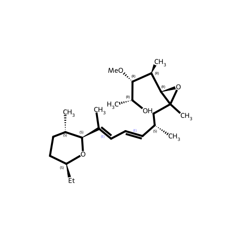 CC[C@H]1CC[C@H](C)[C@@H](/C(C)=C/C=C/[C@@H](C)CC2(C)O[C@@H]2[C@H](C)[C@@H](OC)[C@@H](C)O)O1